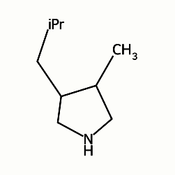 CC(C)CC1CNCC1C